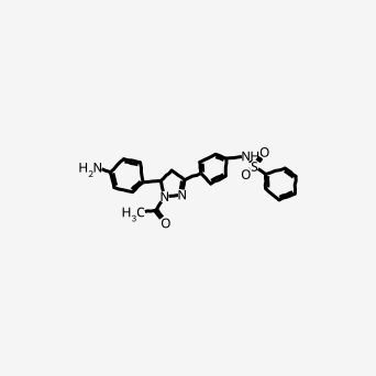 CC(=O)N1N=C(c2ccc(NS(=O)(=O)c3ccccc3)cc2)CC1c1ccc(N)cc1